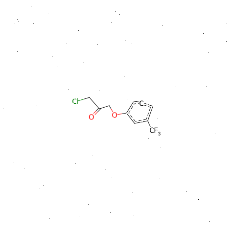 O=C(CCl)COc1cccc(C(F)(F)F)c1